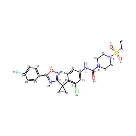 CCS(=O)(=O)N1CCN(C(=O)Nc2ccc(C3(c4noc(-c5ccc(F)cc5)n4)CC3)c(Cl)c2)CC1